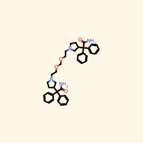 NC(=O)C(c1ccccc1)(c1ccccc1)C1CCN(CCOCOCCN2CCC(C(C(N)=O)(c3ccccc3)c3ccccc3)C2)C1